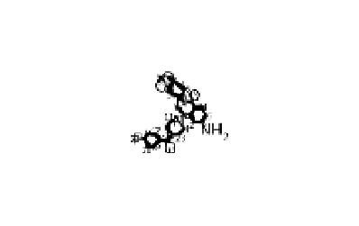 Nc1ccc(C(=O)N(CCN2CCC(C(=O)c3ccc(F)cc3)CC2)c2ccc3c(c2)OCO3)cc1